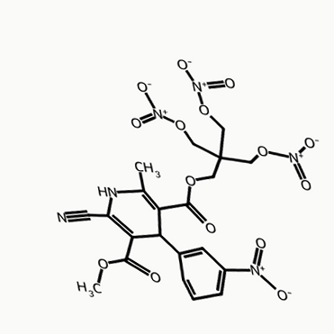 COC(=O)C1=C(C#N)NC(C)=C(C(=O)OCC(CO[N+](=O)[O-])(CO[N+](=O)[O-])CO[N+](=O)[O-])C1c1cccc([N+](=O)[O-])c1